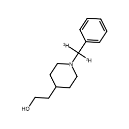 [2H]C([2H])(c1ccccc1)N1CCC(CCO)CC1